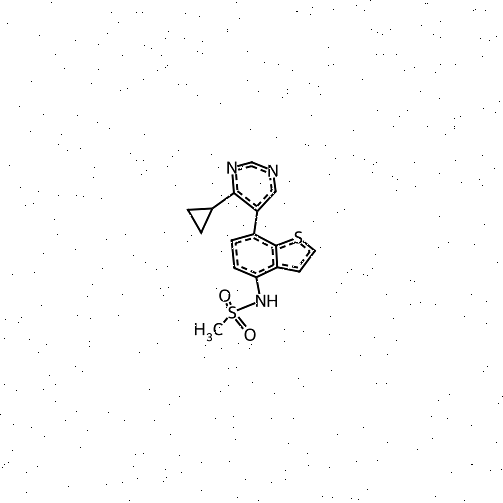 CS(=O)(=O)Nc1ccc(-c2cncnc2C2CC2)c2sccc12